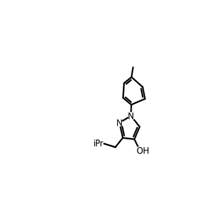 Cc1ccc(-n2cc(O)c(CC(C)C)n2)cc1